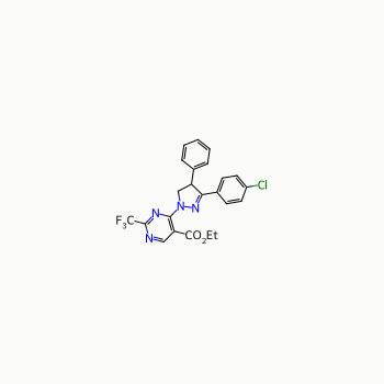 CCOC(=O)c1cnc(C(F)(F)F)nc1N1CC(c2ccccc2)C(c2ccc(Cl)cc2)=N1